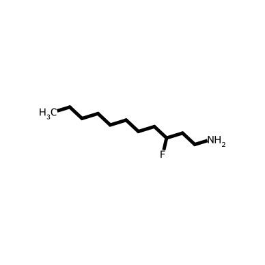 CCCCCCCCC(F)CCN